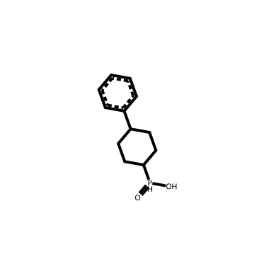 O=[PH](O)C1CCC(c2ccccc2)CC1